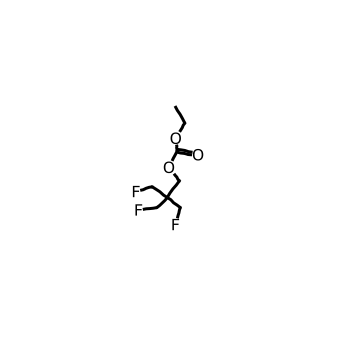 CCOC(=O)OCC(CF)(CF)CF